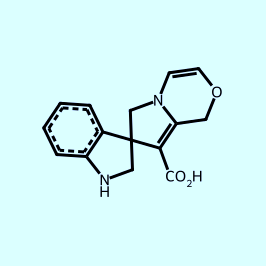 O=C(O)C1=C2COC=CN2CC12CNc1ccccc12